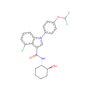 O=C(N[C@H]1CCCC[C@@H]1O)c1cn(-c2ccc(OC(F)F)cc2)c2cccc(F)c12